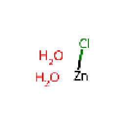 O.O.[Cl][Zn]